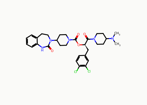 CN(C)C1CCN(C(=O)[C@@H](Cc2ccc(Cl)c(Cl)c2)OC(=O)N2CCC(N3CCc4ccccc4NC3=O)CC2)CC1